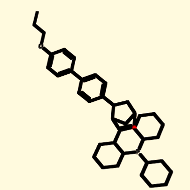 CCCOc1ccc(-c2ccc(C3CC4C=C(C5CCCCC5P(C5CCCCC5)C5CCCCC5)C3C4)cc2)cc1